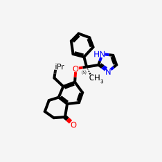 CC(C)Cc1c(O[C@@](C)(c2ccccc2)c2ncc[nH]2)ccc2c1CCCC2=O